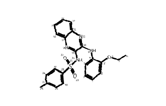 CCOc1ccccc1Nc1nc2ccccc2nc1NS(=O)(=O)c1ccc(C)cc1